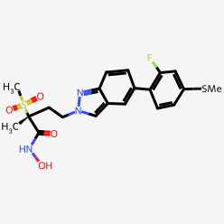 CSc1ccc(-c2ccc3nn(CC[C@](C)(C(=O)NO)S(C)(=O)=O)cc3c2)c(F)c1